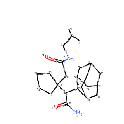 CC(C)CNC(=O)CC1(C(C(N)=O)C2C3CC4CC(C3)CC2C4)CCCC1